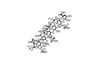 CC(=O)N[C@H]1[C@@H](O[C@H]2[C@H](O)[C@@H](O)[C@H](O[C@H]3[C@H](OS(=O)(=O)O)[C@@H](NS(=O)(=O)O)[C@@H](O[C@H]4[C@H](O)[C@@H](OS(=O)(=O)O)[C@H](O[C@H]5[C@H](O)[C@@H](NS(=O)(=O)O)[C@@H](OC(C)(C)C)O[C@@H]5COS(=O)(=O)O)O[C@H]4C(=O)O)O[C@@H]3COS(=O)(=O)O)O[C@@H]2C(=O)O)O[C@H](COS(=O)(=O)O)[C@@H](O[C@@H]2OC(C(=O)O)=C[C@H](O)[C@H]2O)[C@@H]1O